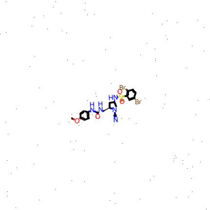 COc1ccc(NC(=O)NC[C@H]2C[C@@H](NS(=O)(=O)c3cc(Br)ccc3Br)CN2C#N)cc1